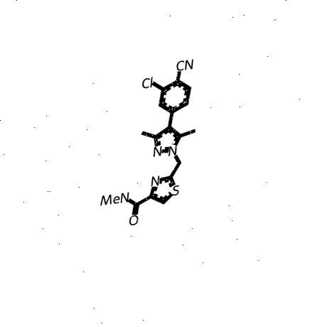 CNC(=O)c1csc(Cn2nc(C)c(-c3ccc(C#N)c(Cl)c3)c2C)n1